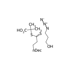 CCCCCCCCCCCCC(=S)SC(C)(C)C(=O)O.[N-]=[N+]=NCCCO